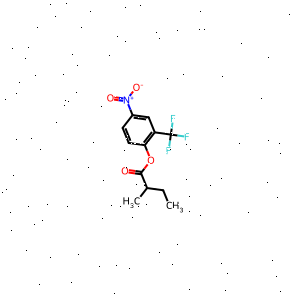 CCC(C)C(=O)Oc1ccc([N+](=O)[O-])cc1C(F)(F)F